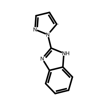 [c]1ccnn1-c1nc2ccccc2[nH]1